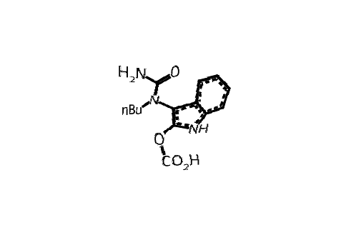 CCCCN(C(N)=O)c1c(OC(=O)O)[nH]c2ccccc12